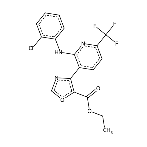 CCOC(=O)c1ocnc1-c1ccc(C(F)(F)F)nc1Nc1ccccc1Cl